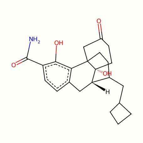 NC(=O)c1ccc2c(c1O)C13CCC(CC4CCC4)[C@H](C2)[C@]1(O)CCC(=O)C3